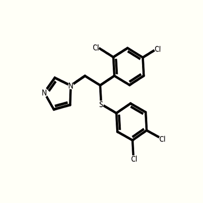 Clc1ccc(C(Cn2ccnc2)Sc2ccc(Cl)c(Cl)c2)c(Cl)c1